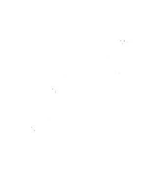 COC(=O)CCC(=O)N1CC2NC2C1